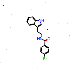 O=C(NCCc1c[nH]c2ccccc12)c1ccc(Br)cc1